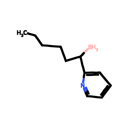 BC(CCCCC)c1ccccn1